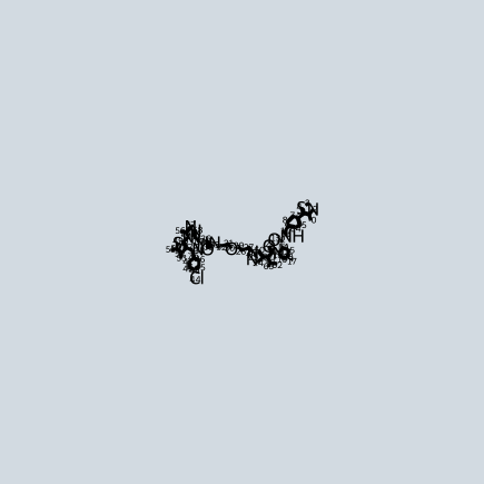 Cc1ncsc1-c1ccc(CNC(=O)[C@@H]2C[C@@H](C)CN2C(=O)C(c2cnn(CCCOCCNC(=O)C[C@@H]3N=C(c4ccc(Cl)cc4)c4c(sc(C)c4C)-n4c(C)nnc43)c2)C(C)C)cc1